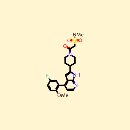 CNS(=O)(=O)CC(=O)N1CCC(c2cc3c(-c4cc(F)ccc4OC)ccnc3[nH]2)CC1